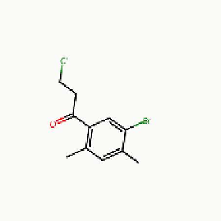 Cc1cc(C)c(C(=O)CCCl)cc1Br